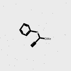 C#CC(OC)Sc1ccccc1